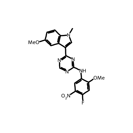 COc1ccc2c(c1)c(-c1ncnc(Nc3cc([N+](=O)[O-])c(F)cc3OC)n1)cn2C